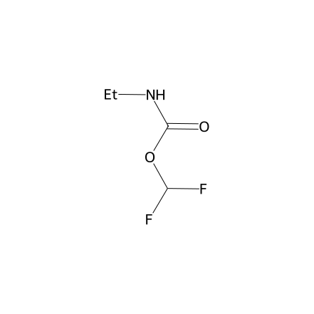 CCNC(=O)OC(F)F